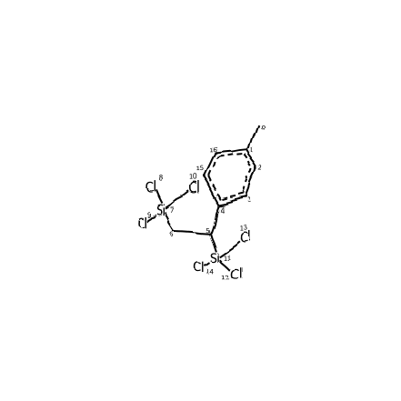 Cc1ccc(C(C[Si](Cl)(Cl)Cl)[Si](Cl)(Cl)Cl)cc1